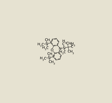 CC(C)(C)[Si](C)(C)N1c2cccc([Si](C)(C)C)c2Oc2c1cccc2[Si](C)(C)C